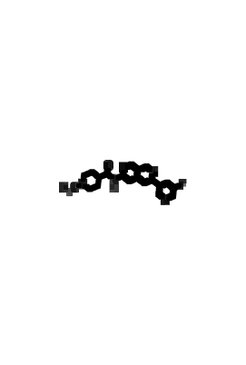 CN1CCC(C(=O)Nc2cc3cc(-c4cncc(F)c4)ncc3cn2)CC1